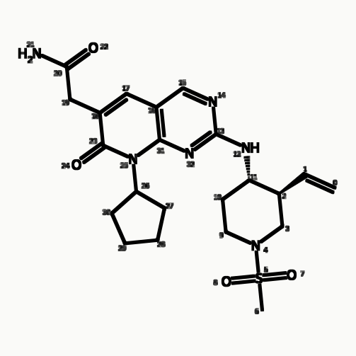 C=C[C@H]1CN(S(C)(=O)=O)CC[C@@H]1Nc1ncc2cc(CC(N)=O)c(=O)n(C3CCCC3)c2n1